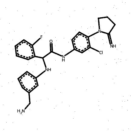 N=C1CCCN1c1ccc(NC(=O)C(Nc2cccc(CN)c2)c2ccccc2F)cc1Cl